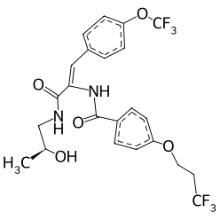 C[C@H](O)CNC(=O)/C(=C/c1ccc(OC(F)(F)F)cc1)NC(=O)c1ccc(OCCC(F)(F)F)cc1